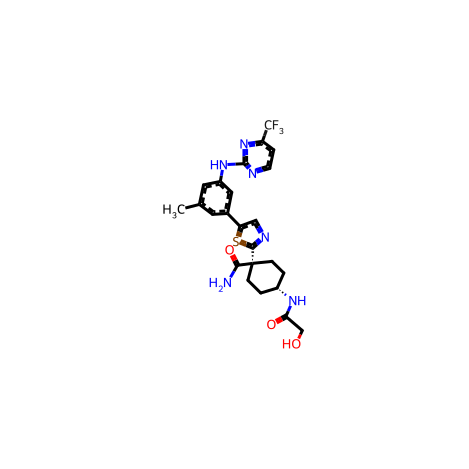 Cc1cc(Nc2nccc(C(F)(F)F)n2)cc(-c2cnc([C@]3(C(N)=O)CC[C@H](NC(=O)CO)CC3)s2)c1